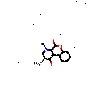 CCn1cc(C(=O)O)c(=O)c2c3ccccc3oc(=O)c21